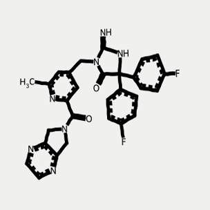 Cc1cc(CN2C(=N)NC(c3ccc(F)cc3)(c3ccc(F)cc3)C2=O)cc(C(=O)N2Cc3nccnc3C2)n1